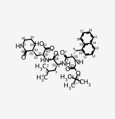 CC(C)C[C@H](NC(=O)[C@H](Cc1cccc2ccccc12)NC(=O)OC(C)(C)C)C(=O)N[C@@H](C[C@@H]1CCCNC1=O)C(=O)O